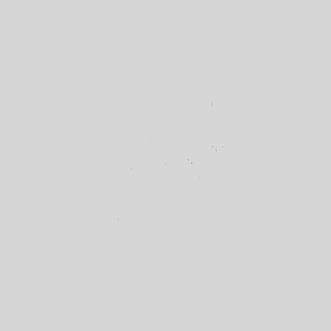 Cc1cc(O)ccc1-c1ccc(O)c2nccn12